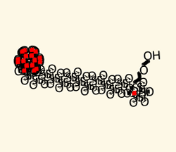 C[Si](CCCOCCO)(O[Si](=O)[Si](=O)[Si](=O)[Si](=O)[Si](=O)[Si](=O)[Si](=O)[Si](=O)[Si](=O)[Si](=O)[Si](=O)[Si](=O)[Si](=O)[Si](=O)[Si](=O)[Si](=O)[Si](=O)[Si](=O)[Si](=O)[Si](=O)[Si](=O)[Si](=O)[Si](=O)[Si](=O)[Si](=O)[Si](=O)[Si](=O)[Si](=O)[Si](=O)[Si](=O)[Si](=O)[Si](=O)[Si](=O)[Si](=O)[Si](=O)[Si](=O)[Si](=O)[Si](=O)[Si](=O)[Si](=O)[Si](=O)[Si](=O)[Si](=O)[Si](=O)[Si](=O)[Si](=O)[Si](=O)[Si](=O)[SiH]=O)[Si](=O)[Si](=O)[Si](=O)[Si](=O)[SiH]=O